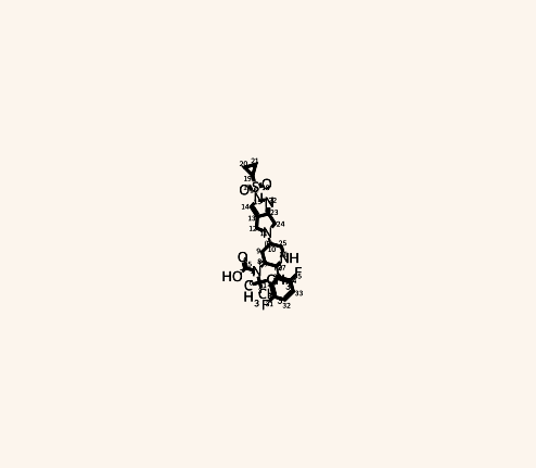 CC(C)(C)N(C(=O)O)[C@H]1C[C@@H](N2Cc3cn(S(=O)(=O)C4CC4)nc3C2)CN[C@H]1c1cc(F)ccc1F